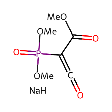 COC(=O)C(=C=O)P(=O)(OC)OC.[NaH]